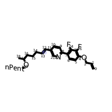 C=CCOc1ccc(-c2ccc(/C=C/CCCC(C)OCCCCC)cn2)c(F)c1F